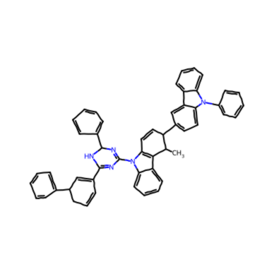 CC1c2c(n(C3=NC(c4ccccc4)NC(C4=CC(c5ccccc5)CC=C4)=N3)c3ccccc23)C=CC1c1ccc2c(c1)c1ccccc1n2-c1ccccc1